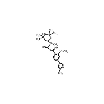 COc1cc(-c2cnn(C)c2)ccc1C(=N)SC(=N)N(C)C1CC(C)(C)NC(C)(C)C1